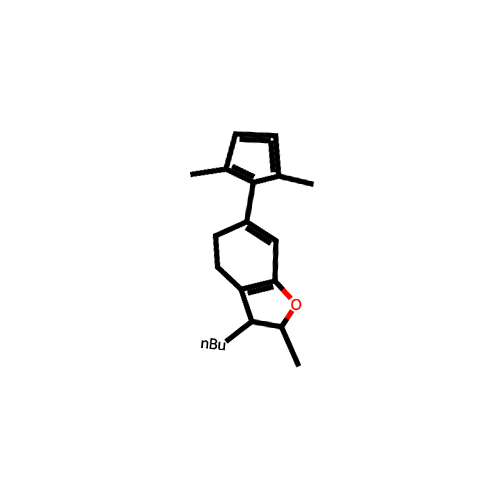 CCCCC1C2=C(C=C(C3=C(C)C=C=C3C)CC2)OC1C